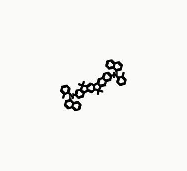 Cc1ccccc1N(c1ccc2c(c1)C(C)(C)c1cc3c(cc1-2)C(C)(C)c1cc2cc(N(c4ccccc4C)c4cccc5ccccc45)ccc2cc1-3)c1cccc2ccccc12